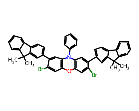 CC1(C)c2ccccc2-c2ccc(-c3cc4c(cc3Br)Oc3cc(Br)c(-c5ccc6c(c5)C(C)(C)c5ccccc5-6)cc3N4c3ccccc3)cc21